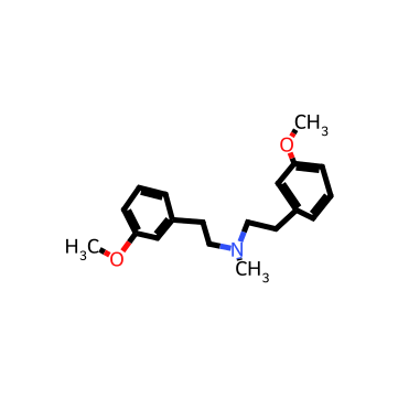 COc1cccc(CCN(C)CCc2cccc(OC)c2)c1